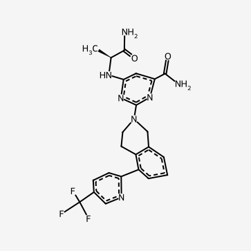 C[C@H](Nc1cc(C(N)=O)nc(N2CCc3c(cccc3-c3ccc(C(F)(F)F)cn3)C2)n1)C(N)=O